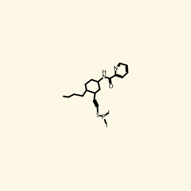 CCCCC1CCC(NC(=O)c2ccccn2)CC1C#CSP(I)I